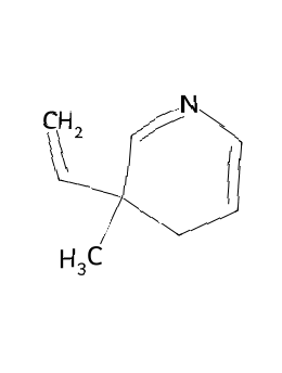 C=CC1(C)C=NC=CC1